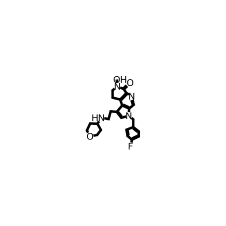 O=C1c2ncc3c(c(CCNC4CCOCC4)cn3Cc3ccc(F)cc3)c2CCN1O